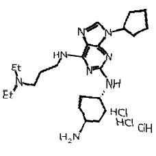 CCN(CC)CCCNc1nc(N[C@H]2CC[C@H](N)CC2)nc2c1ncn2C1CCCC1.Cl.Cl.Cl